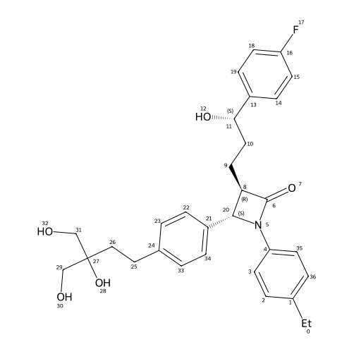 CCc1ccc(N2C(=O)[C@H](CC[C@H](O)c3ccc(F)cc3)[C@H]2c2ccc(CCC(O)(CO)CO)cc2)cc1